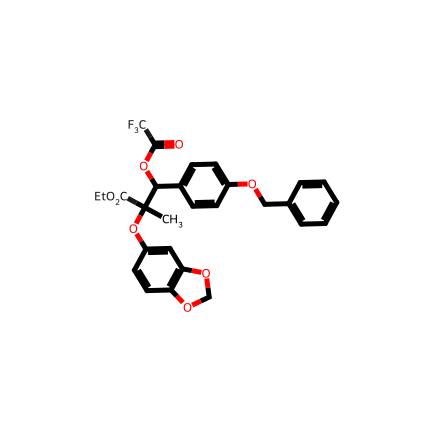 CCOC(=O)C(C)(Oc1ccc2c(c1)OCO2)C(OC(=O)C(F)(F)F)c1ccc(OCc2ccccc2)cc1